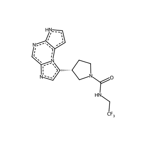 O=C(NCC(F)(F)F)N1CC[C@@H](c2cnc3cnc4[nH]ccc4n23)C1